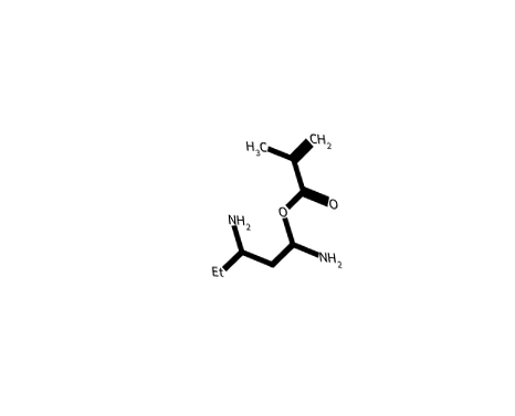 [CH2]CC(N)CC(N)OC(=O)C(=C)C